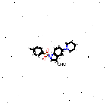 Cc1ccc(S(=O)(=O)n2cc(C=O)c3cc(N4CCCCC4)ccc32)cc1